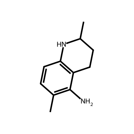 Cc1ccc2c(c1N)CCC(C)N2